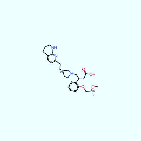 CO[C@H](C)COc1ccccc1C(CC(=O)O)CN1CC[C@@H](CCc2ccc3c(n2)NCCC3)C1